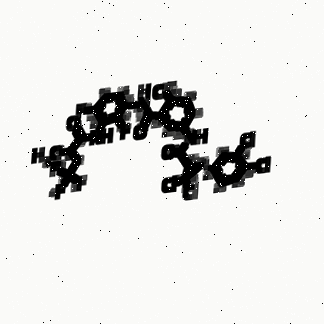 CC(CC(F)(F)F)C(=O)Nc1c(F)ccc(NC(=O)c2cc(NC(=O)C3[C@H](c4ccc(Cl)c(Cl)c4)C3(Cl)Cl)ccc2Cl)c1F